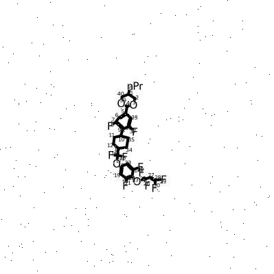 CCCC1COC(c2cc(F)c(C3CCC(C(F)(F)Oc4cc(F)c(OC(F)(F)C=C(F)F)c(F)c4)CC3)c(F)c2)OC1